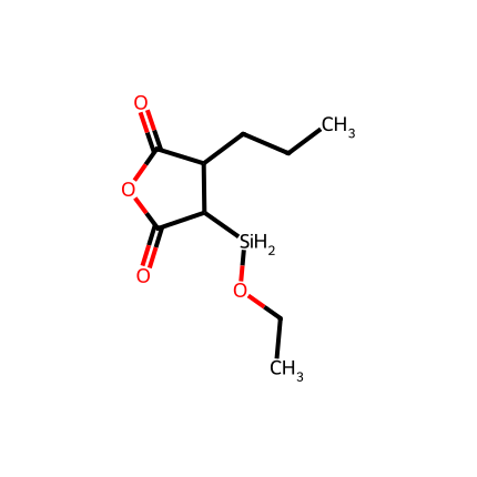 CCCC1C(=O)OC(=O)C1[SiH2]OCC